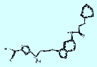 NC(=O)c1cn([C@H](O)CCCn2ccc3ccc(NC(=O)CCc4ccccc4)cc32)cn1